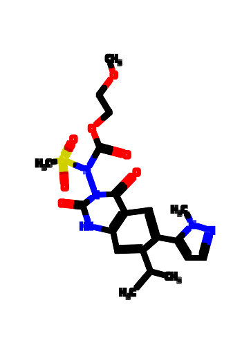 COCCOC(=O)N(n1c(=O)[nH]c2cc(C(C)C)c(-c3ccnn3C)cc2c1=O)S(C)(=O)=O